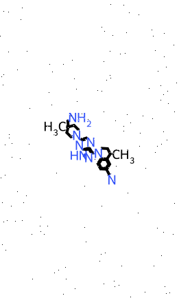 C[C@H]1CCN(c2n[nH]c3nc(N4CCC(C)(CN)CC4)cnc23)c2ccc(C#N)cc21